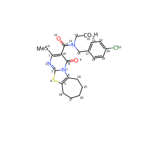 CSc1nc2sc3c(n2c(=O)c1C(=O)N(CC(=O)O)Cc1ccc(Cl)cc1)CCCCC3